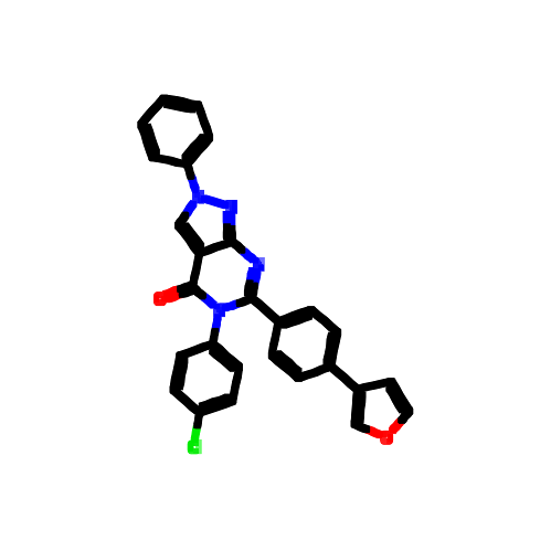 O=c1c2cn(-c3ccccc3)nc2nc(-c2ccc(-c3ccoc3)cc2)n1-c1ccc(Cl)cc1